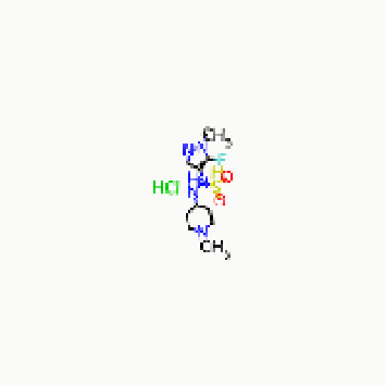 CN1CCC(NN(c2cnn(C)c2F)[SH](=O)=O)CC1.Cl